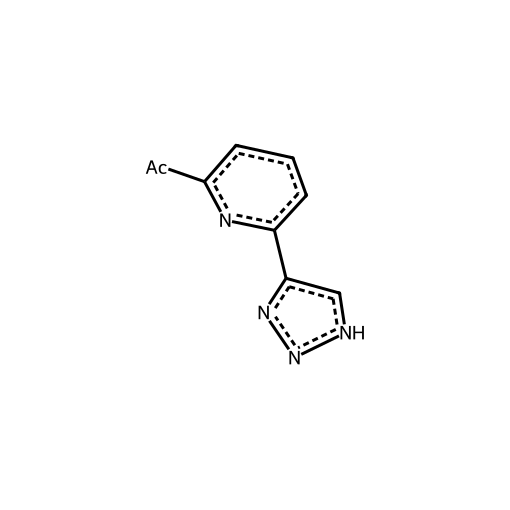 CC(=O)c1cccc(-c2c[nH]nn2)n1